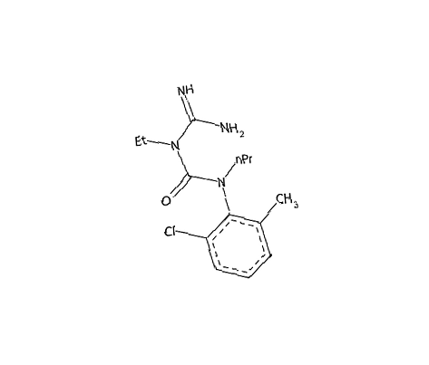 CCCN(C(=O)N(CC)C(=N)N)c1c(C)cccc1Cl